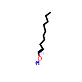 CCCCCCCC/C=C/O[N]